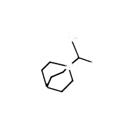 CC(I)[N+]12CCC(CC1)CC2